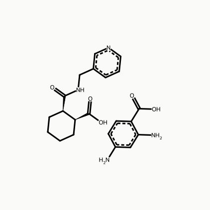 Nc1ccc(C(=O)O)c(N)c1.O=C(O)[C@H]1CCCC[C@H]1C(=O)NCc1cccnc1